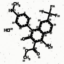 CNc1ccc(-n2c(=O)c(C(=O)OC)c(N)c3ccc(C(F)(F)F)cc32)cc1.Cl